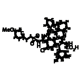 COc1ccc(CCS(=O)(=O)Nc2nn(C)c3c(-n4c([C@H](Cc5cc(F)cc(F)c5)NC(=O)O)nc5cccc(-c6nccs6)c5c4=O)ccc(Cl)c23)cc1